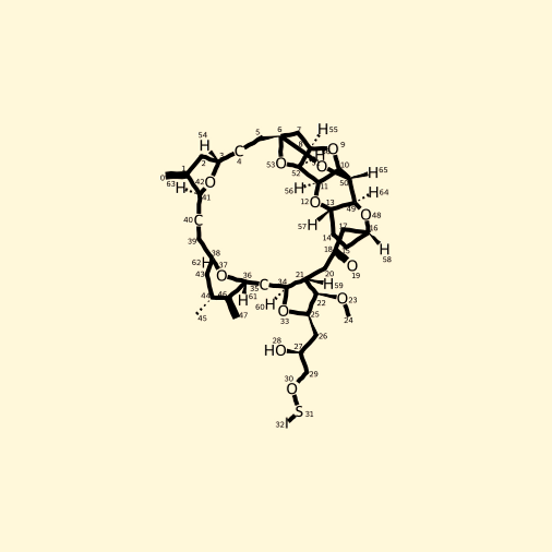 C=C1C[C@@H]2CC[C@@]34C[C@H]5OC6[C@@H](O[C@H]7CC[C@H](CC(=O)C[C@@H]8[C@@H](OC)[C@@H](C[C@H](O)COSI)O[C@H]8C[C@H]8O[C@@H](CC[C@@H]1O2)C[C@@H](C)C8=C)O[C@@H]7[C@@H]6O3)[C@H]5O4